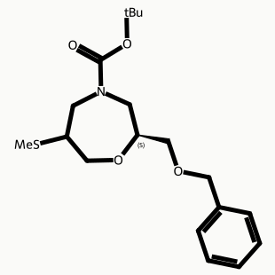 CSC1CO[C@H](COCc2ccccc2)CN(C(=O)OC(C)(C)C)C1